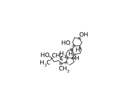 C[C@H](CCC(C)(C)O)[C@H]1CC[C@H]2[C@@H]3CC=C4C[C@@H](O)CC[C@]4(CO)[C@H]3CC[C@]12C